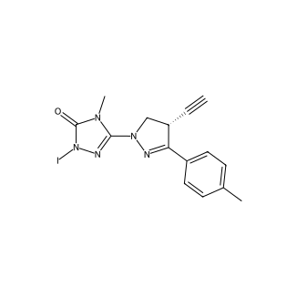 C#C[C@H]1CN(c2nn(I)c(=O)n2C)N=C1c1ccc(C)cc1